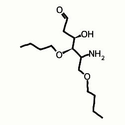 CCCCOCC(N)[C@@H](OCCCC)[C@H](O)CC=O